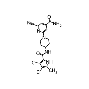 Cc1[nH]c(C(=O)NC2CCN(c3cc(C(N)=O)cc(C#N)n3)CC2)c(Cl)c1Cl